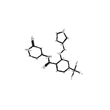 O=C1CC(NC(=O)C2CCC(C(F)(F)F)CC2OCC2CCOC2)CCN1